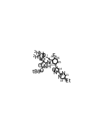 [2H]C([2H])([2H])N=[S@@]1(=O)C[C@@](C)(c2cc(-c3cc(-c4ncc(CC)cn4)no3)ccc2F)N=C(NC(=O)OC(C)(C)C)C1(C)C